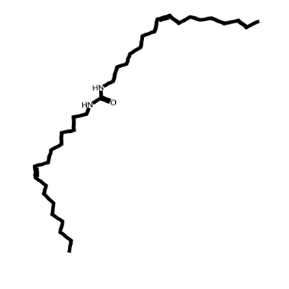 CCCCCCCC/C=C\CCCCCCCNC(=O)NCCCCCCC/C=C\CCCCCCCC